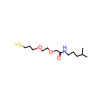 CC(C)CCCNC(=O)COCCOCCCS